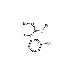 CCO[SiH](OCC)OCC.Oc1ccccc1